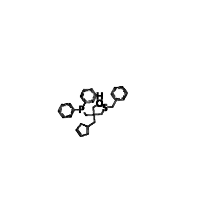 OCC(CSCc1ccccc1)(CC1=CC=CC1)CP(c1ccccc1)c1ccccc1